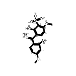 COc1ccc(C(=O)c2ccc(OC)c(S(=O)(=O)[O-])c2O)c(O)c1.[Na+]